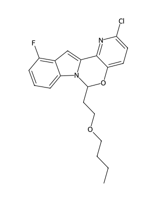 CCCCOCCC1Oc2ccc(Cl)nc2-c2cc3c(F)cccc3n21